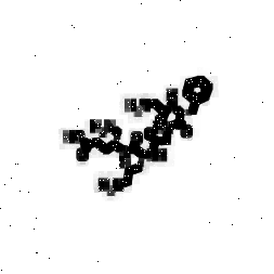 NCCC[C@@H](NC(=O)CNC(=O)[C@@H](Cc1ccccc1)NC(=O)CN)C(=O)N[C@@H](CN)CCC(=O)O